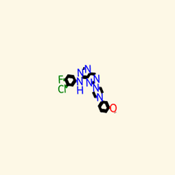 COc1cccc(N2CCN(c3ncc4ncnc(Nc5ccc(F)c(Cl)c5)c4n3)CC2)c1